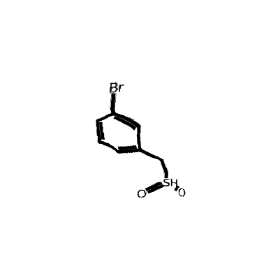 O=[SH](=O)Cc1cccc(Br)c1